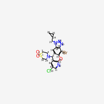 O=S1(=O)CCN(Cc2cc(Cl)cnc2Oc2ccc3c(nnn3CC3CC3)c2Br)CC1